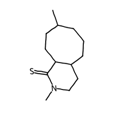 CC1CCCC2CCN(C)C(=S)C2CC1